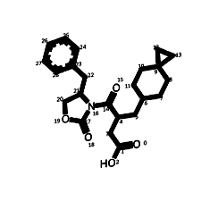 O=C(O)CC(CC1CCC2(CC1)CC2)C(=O)N1C(=O)OCC1Cc1ccccc1